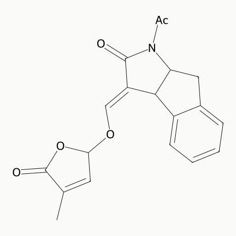 CC(=O)N1C(=O)/C(=C/OC2C=C(C)C(=O)O2)C2c3ccccc3CC21